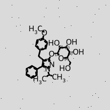 COc1ccc(Cc2c(O[C@@H]3O[C@H](CO)[C@@H](O)[C@H](O)[C@H]3O)nn(C(C)C)c2-c2ccccc2)cc1